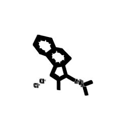 CC1=Cc2c(ccc3ccccc23)[CH]1[Zr+2][Si](C)C.[Cl-].[Cl-]